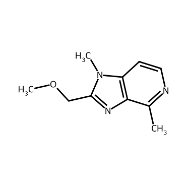 COCc1nc2c(C)nccc2n1C